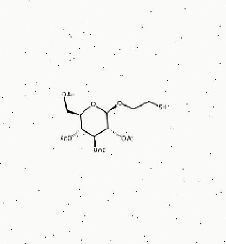 CC(=O)OC[C@H]1O[C@@H](OCCS)[C@H](OC(C)=O)[C@@H](OC(C)=O)[C@@H]1OC(C)=O